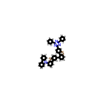 c1ccc(-c2nc(-c3ccccc3)nc(-c3ccc4c(c3)sc3cccc(-c5ccc6sc7c(-n8c9ccccc9c9ccccc98)cccc7c6c5)c34)n2)cc1